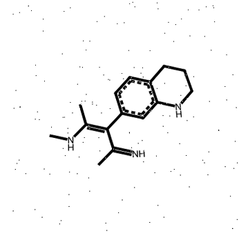 CN/C(C)=C(\C(C)=N)c1ccc2c(c1)NCCC2